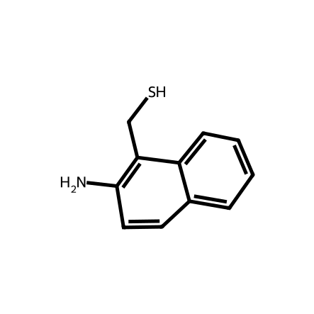 Nc1ccc2ccccc2c1CS